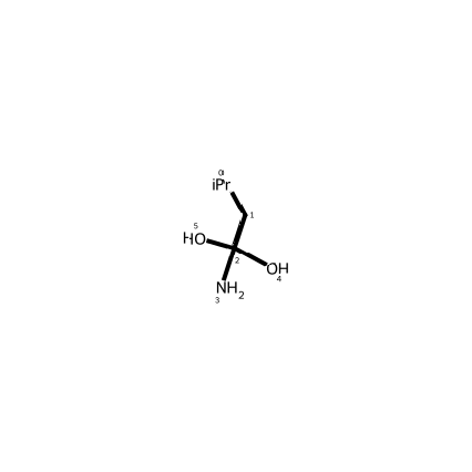 CC(C)CC(N)(O)O